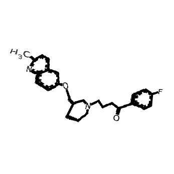 Cc1ccc2cc(OCC3CCCN(CCCC(=O)c4ccc(F)cc4)C3)ccc2n1